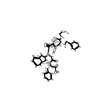 CCOC(=O)[C@H](CCc1ccccc1)N[C@@H](C)C(=O)N(CC(=O)N[C@@H](Cc1ccccc1)C(=O)O)C1Cc2ccccc2C1